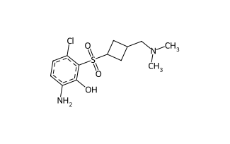 CN(C)CC1CC(S(=O)(=O)c2c(Cl)ccc(N)c2O)C1